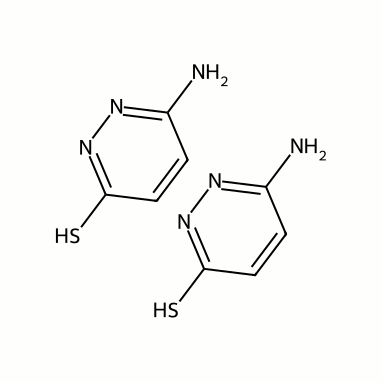 Nc1ccc(S)nn1.Nc1ccc(S)nn1